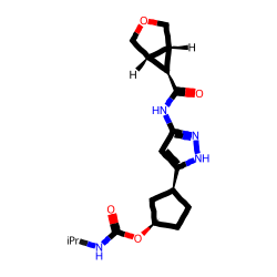 CC(C)NC(=O)O[C@@H]1CC[C@H](c2cc(NC(=O)[C@H]3[C@@H]4COC[C@@H]43)n[nH]2)C1